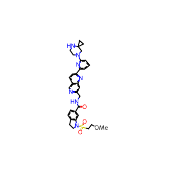 COCCS(=O)(=O)N1CCc2ccc(C(=O)NCc3cc4nc(-c5cccc(N6CCNC7(CC7)C6)n5)ccc4cn3)cc21